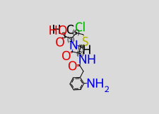 C[C@@]1(Cl)CS[C@@H]2[C@H](NC(=O)Cc3ccccc3N)C(=O)N2[C@H]1C(=O)O